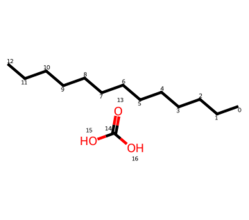 CCCCCCCCCCCCC.O=C(O)O